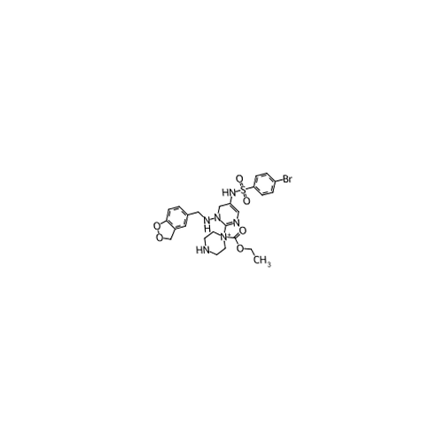 CCOC(=O)[N+]1(C2=NC=C(NS(=O)(=O)c3ccc(Br)cc3)CN2NCc2ccc3c(c2)COO3)CCNCC1